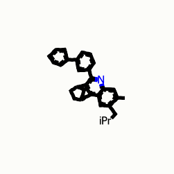 Cc1cc2nc(-c3cccc(-c4ccccc4)c3)c3c(c2cc1CC(C)C)C1CCC3C1